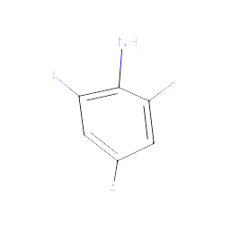 CC(=O)c1cc(I)c(N)c(I)c1